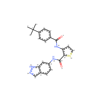 CC(C)(C)c1ccc(C(=O)Nc2ccsc2C(=O)Nc2ccc3cn[nH]c3c2)cc1